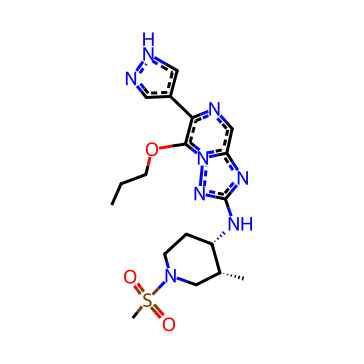 CCCOc1c(-c2cn[nH]c2)ncc2nc(N[C@H]3CCN(S(C)(=O)=O)C[C@H]3C)nn12